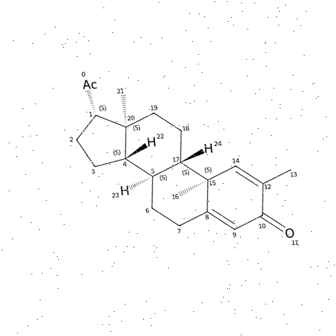 CC(=O)[C@H]1CC[C@H]2[C@@H]3CCC4=CC(=O)C(C)=C[C@]4(C)[C@H]3CC[C@]12C